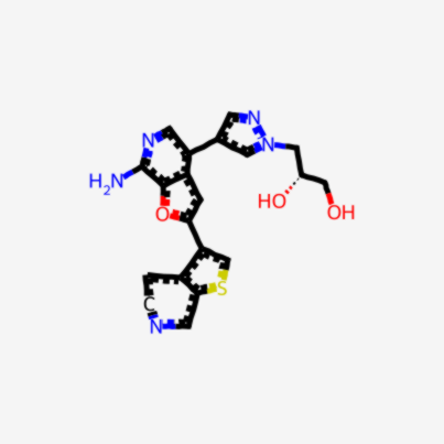 Nc1ncc(-c2cnn(C[C@@H](O)CO)c2)c2cc(-c3csc4cnccc34)oc12